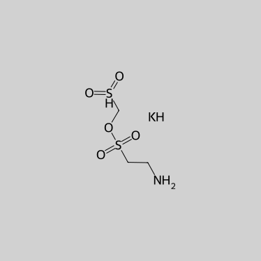 NCCS(=O)(=O)OC[SH](=O)=O.[KH]